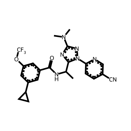 CC(NC(=O)c1cc(OC(F)(F)F)cc(C2CC2)c1)c1nc(N(C)C)nn1-c1ccc(C#N)cn1